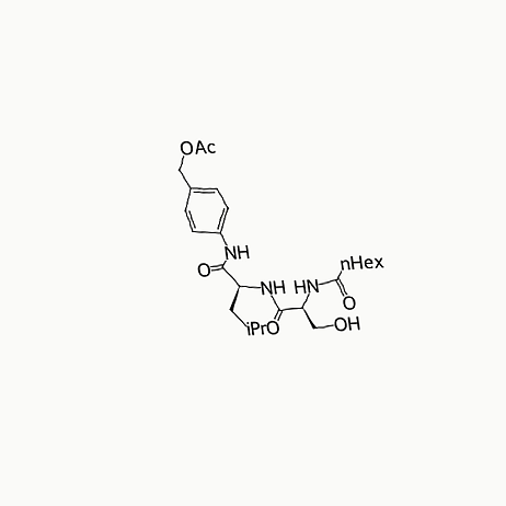 CCCCCCC(=O)N[C@@H](CO)C(=O)N[C@@H](CC(C)C)C(=O)Nc1ccc(COC(C)=O)cc1